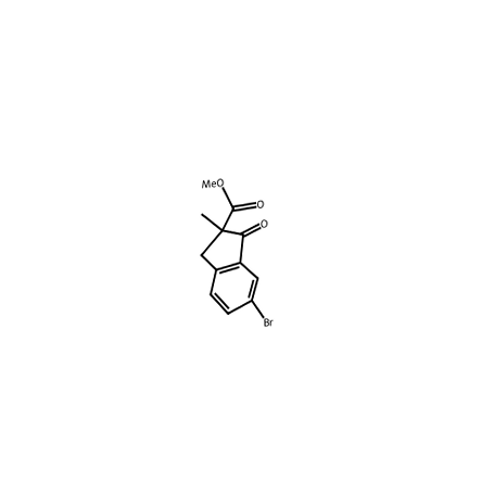 COC(=O)C1(C)Cc2ccc(Br)cc2C1=O